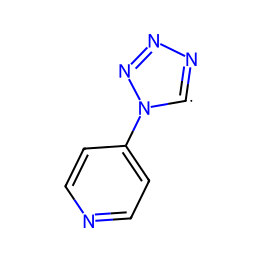 [c]1nnnn1-c1ccncc1